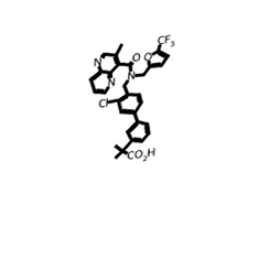 Cc1cnc2cccnc2c1C(=O)N(Cc1ccc(C(F)(F)F)o1)Cc1ccc(-c2cccc(C(C)(C)C(=O)O)c2)cc1Cl